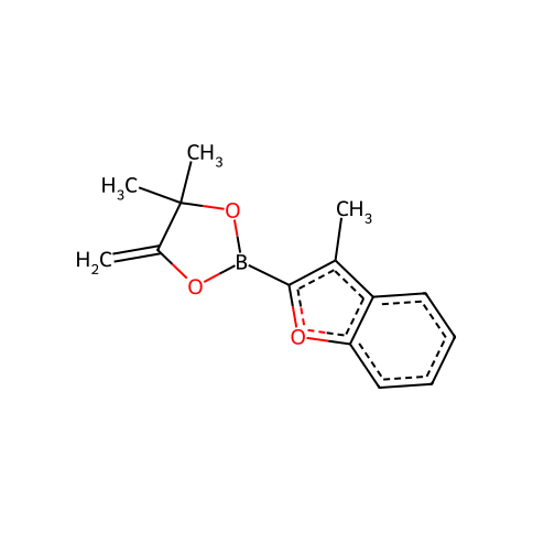 C=C1OB(c2oc3ccccc3c2C)OC1(C)C